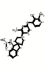 Cc1nc(Sc2ccnc(N)c2Cl)cnc1N1CCC2(CC1)Cc1ccccc1[C@H]2N[S@+]([O-])C(C)(C)C